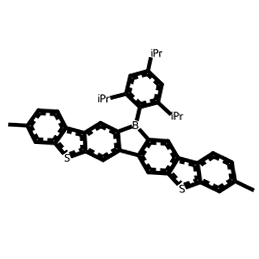 Cc1ccc2c(c1)sc1cc3c(cc12)B(c1c(C(C)C)cc(C(C)C)cc1C(C)C)c1cc2c(cc1-3)sc1cc(C)ccc12